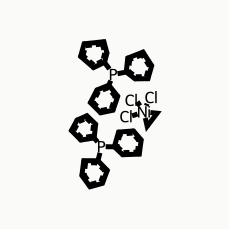 [Cl][Ni]1([Cl])([Cl])[CH2][CH2]1.c1ccc(P(c2ccccc2)c2ccccc2)cc1.c1ccc(P(c2ccccc2)c2ccccc2)cc1